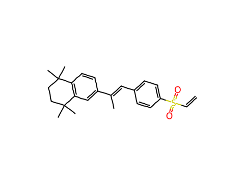 C=CS(=O)(=O)c1ccc(C=C(C)c2ccc3c(c2)C(C)(C)CCC3(C)C)cc1